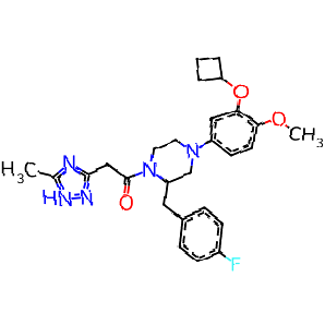 COc1ccc(N2CCN(C(=O)Cc3n[nH]c(C)n3)C(Cc3ccc(F)cc3)C2)cc1OC1CCC1